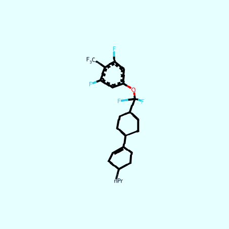 CCCC1CC=C(C2CCC(C(F)(F)Oc3cc(F)c(C(F)(F)F)c(F)c3)CC2)CC1